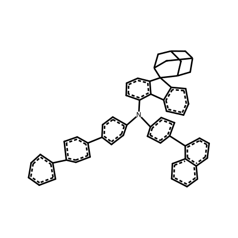 c1ccc(-c2ccc(-c3ccc(N(c4ccc(-c5cccc6ccccc56)cc4)c4cccc5c4-c4ccccc4C54C5CC6CC(C5)CC4C6)cc3)cc2)cc1